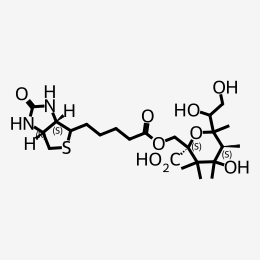 C[C@@H]1C(C)(C(O)CO)O[C@@](COC(=O)CCCCC2SC[C@@H]3NC(=O)N[C@H]23)(C(=O)O)C(C)(C)C1(C)O